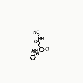 N#CCCNC(=O)C=Cc1cc(Cl)ccc1NS(=O)(=O)c1ccccc1